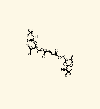 CC(C)[C@H](COC(=O)/C=C/C(=O)OC[C@H](OC(=O)NC(C)(C)C)C(C)C)OC(=O)NC(C)(C)C